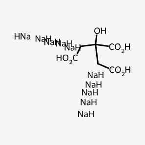 O=C(O)CC(O)(CC(=O)O)C(=O)O.[NaH].[NaH].[NaH].[NaH].[NaH].[NaH].[NaH].[NaH].[NaH].[NaH]